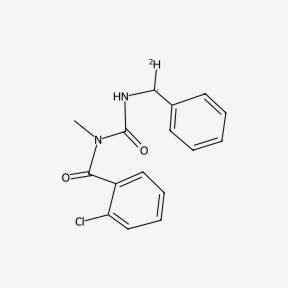 [2H][C](NC(=O)N(C)C(=O)c1ccccc1Cl)c1ccccc1